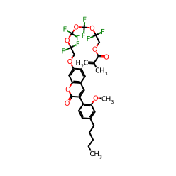 C=C(C)C(=O)OCC(F)(F)OC(F)(F)OC(F)(F)OC(F)(F)COc1ccc2cc(-c3ccc(CCCCC)cc3OC)c(=O)oc2c1